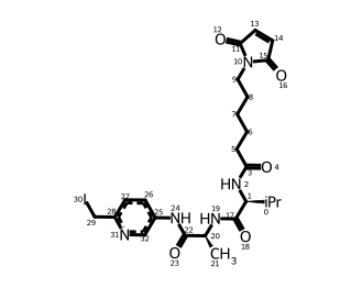 CC(C)[C@H](NC(=O)CCCCCN1C(=O)C=CC1=O)C(=O)N[C@@H](C)C(=O)Nc1ccc(CI)nc1